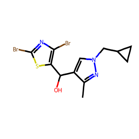 Cc1nn(CC2CC2)cc1C(O)c1sc(Br)nc1Br